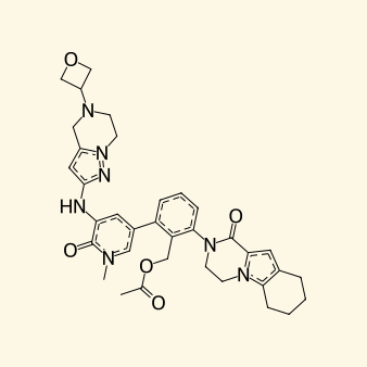 CC(=O)OCc1c(-c2cc(Nc3cc4n(n3)CCN(C3COC3)C4)c(=O)n(C)c2)cccc1N1CCn2c(cc3c2CCCC3)C1=O